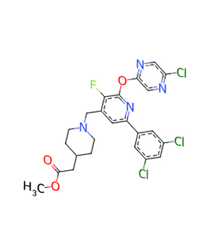 COC(=O)CC1CCN(Cc2cc(-c3cc(Cl)cc(Cl)c3)nc(Oc3cnc(Cl)cn3)c2F)CC1